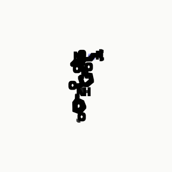 COc1ccc(CNC(=O)C2CCCN(S(=O)(=O)c3c(C)noc3/C=C/N(C)C)C2)cc1